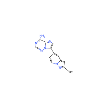 CC(C)c1cc2cc(-c3cnc4c(N)ncnn34)ccn2n1